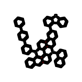 c1ccc(-c2ccc(-c3cccc(N(c4ccccc4-c4ccccc4N(c4ccc5cc(-c6cccc7oc8ccccc8c67)ccc5c4)c4cccc5ccccc45)c4cccc5ccccc45)c3)cc2)cc1